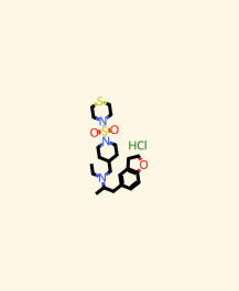 CCN(CC1CCN(S(=O)(=O)N2CCSCC2)CC1)C(C)Cc1ccc2c(c1)CCO2.Cl